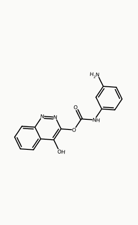 Nc1cccc(NC(=O)Oc2nnc3ccccc3c2O)c1